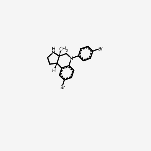 C[C@@]12CN(c3ccc(Br)cc3)c3ccc(Br)cc3[C@@H]1CCN2